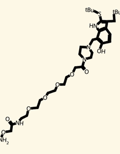 CC(C)(C)Cc1c(SC(C)(C)C)[nH]c2c(CN3CCN(C(=O)COCCOCCOCCOCCNC(=O)CON)CC3)c(O)ccc12